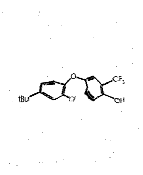 CC(C)(C)c1ccc(Oc2ccc(O)c(C(F)(F)F)c2)c(Cl)c1